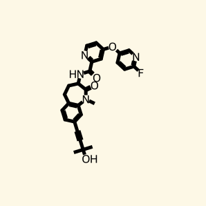 CN1C(=O)C(NC(=O)c2cc(Oc3ccc(F)nc3)ccn2)CCc2ccc(C#CC(C)(C)O)cc21